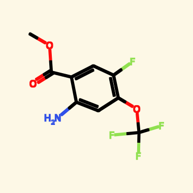 COC(=O)c1cc(F)c(OC(F)(F)F)cc1N